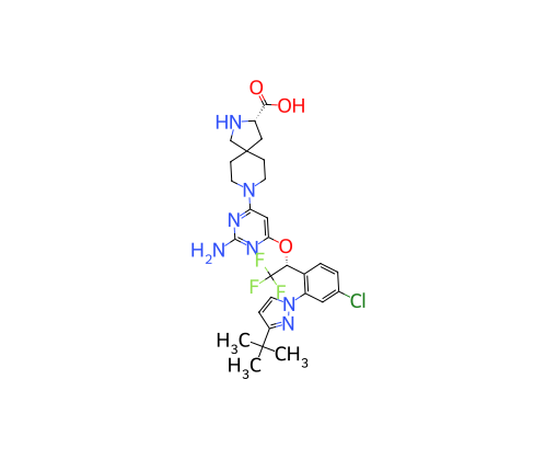 CC(C)(C)c1ccn(-c2cc(Cl)ccc2[C@@H](Oc2cc(N3CCC4(CC3)CN[C@H](C(=O)O)C4)nc(N)n2)C(F)(F)F)n1